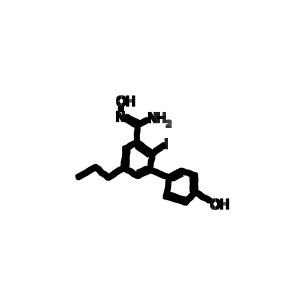 CCCc1cc(/C(N)=N/O)c(I)c(-c2ccc(O)cc2)c1